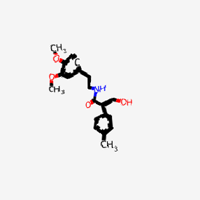 COc1ccc(CCNC(=O)C(=CO)c2ccc(C)cc2)cc1OC